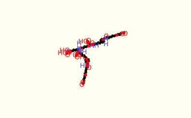 O=COCCCCCCCCCCC(=O)NCC1CCC(CCCCCC(=O)N[C@H](CCCCCCONC(CCCCCON(O)C(=O)O)[C@H](CCC(=O)O)NC(=O)CCCCCC2CCC(CNC(=O)CCCCCCCCCCOC=O)CC2)CCC(=O)O)CC1